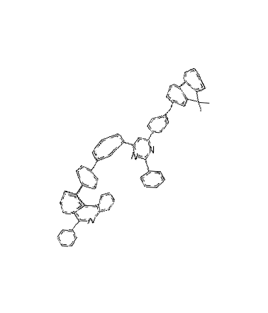 CC1(C)c2ccccc2-c2ccc(-c3ccc(-c4cc(-c5cccc(-c6ccc(-c7cccc8c(-c9ccccc9)nc9ccccc9c78)cc6)c5)nc(-c5ccccc5)n4)cc3)cc21